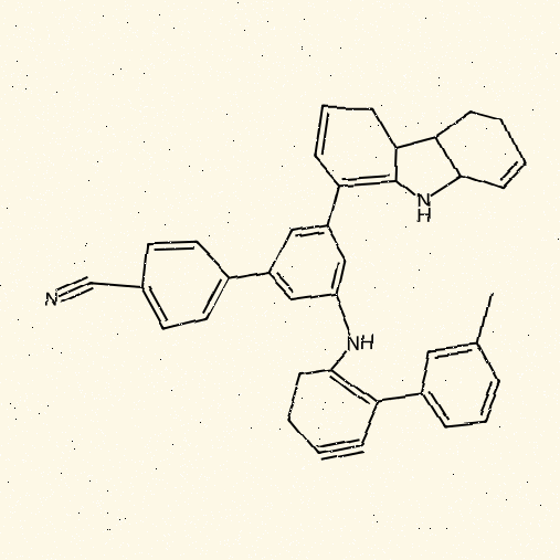 Cc1cccc(C2=C(Nc3cc(C4=C5NC6C=CCCC6C5CC=C4)cc(-c4ccc(C#N)cc4)c3)CCC#C2)c1